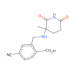 CC1(NCc2cc(C#N)ccc2C(=O)O)CCC(=O)NC1=O